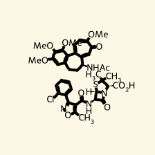 COc1cc2c(c(OC)c1OC)-c1ccc(OC)c(=O)cc1[C@@H](NC(C)=O)CC2.Cc1onc(-c2ccccc2Cl)c1C(=O)N[C@@H]1C(=O)N2[C@@H]1SC(C)(C)[C@@H]2C(=O)O